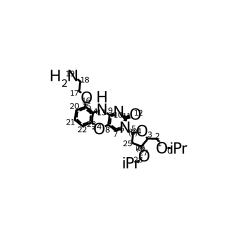 CC(C)OCC1O[C@@H](n2cc3c(nc2=O)Nc2c(OCCN)cccc2O3)C[C@H]1OC(C)C